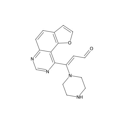 O=CC=C(c1ncnc2ccc3ccoc3c12)N1CCNCC1